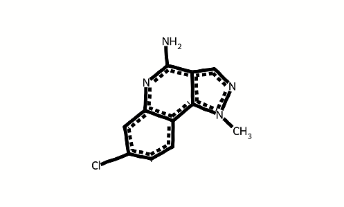 Cn1ncc2c(N)nc3cc(Cl)[c]cc3c21